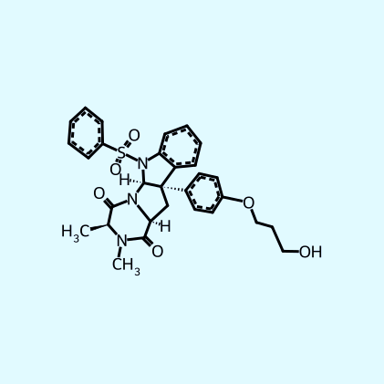 C[C@H]1C(=O)N2[C@@H](C[C@]3(c4ccc(OCCCO)cc4)c4ccccc4N(S(=O)(=O)c4ccccc4)[C@H]23)C(=O)N1C